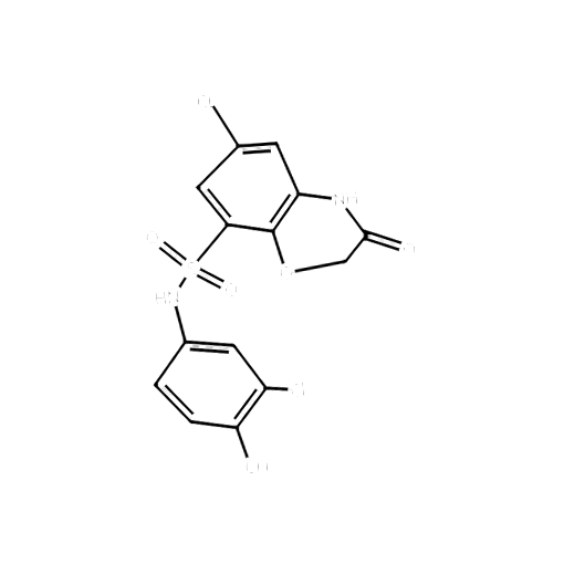 Cc1ccc(NS(=O)(=O)c2cc(Cl)cc3c2OCC(=O)N3)cc1Cl